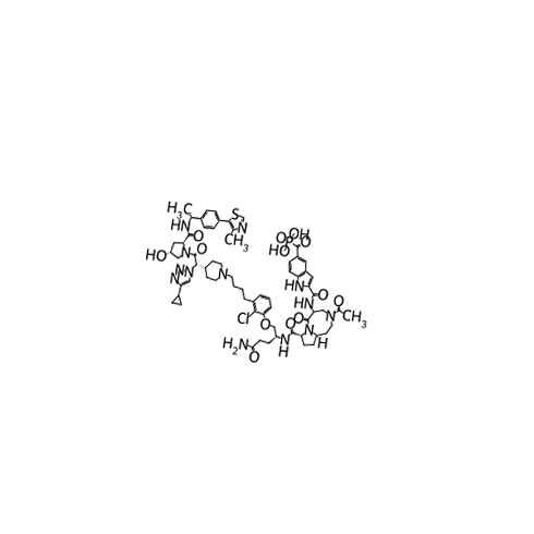 CC(=O)N1CC[C@H]2CC[C@@H](C(=O)N[C@@H](CCC(N)=O)COc3cccc(CCCCN4CCC([C@@H](C(=O)N5C[C@H](O)C[C@H]5C(=O)N[C@@H](C)c5ccc(-c6scnc6C)cc5)n5cc(C6CC6)nn5)CC4)c3Cl)N2C(=O)[C@@H](NC(=O)c2cc3cc(C(=O)P(=O)(O)O)ccc3[nH]2)C1